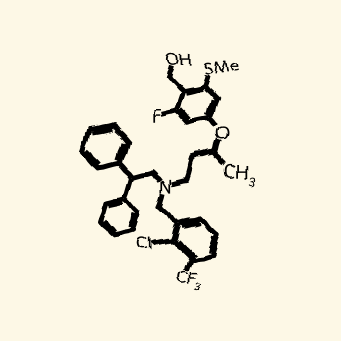 CSc1cc(OC(C)CCN(Cc2cccc(C(F)(F)F)c2Cl)CC(c2ccccc2)c2ccccc2)cc(F)c1CO